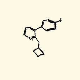 Fc1ccc(-c2cccnc2CC2CCC2)cc1